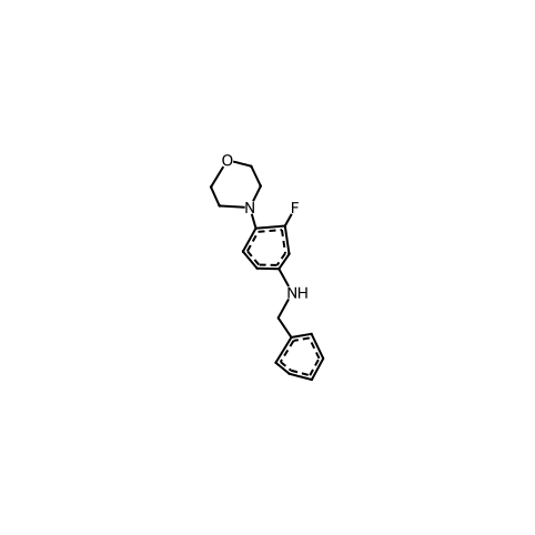 Fc1cc(NCc2ccccc2)ccc1N1CCOCC1